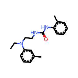 CCN(CCNC(=O)Nc1ccccc1C)c1cccc(C)c1